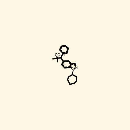 CC(C)(C(=O)O)C(c1ccccc1)c1ccc2c(cnn2C2CCCCCC2)c1